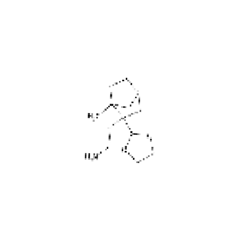 CC12CCC(C1)CC2(CCN)C1OCCO1